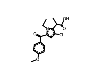 CCn1c(C(=O)c2ccc(OC)cc2)cc(Cl)c1C(C)C(=O)O